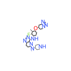 Cc1c(Oc2ccn3ncnc3c2)ccc(Nc2ncnc3ccc(N(C)C4CCNCC4)nc23)c1F